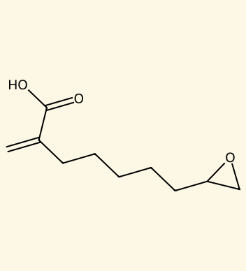 C=C(CCCCCC1CO1)C(=O)O